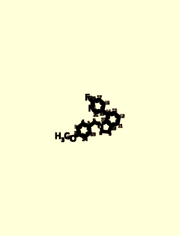 COc1ccc(CN2CCc3cccc(-c4ccc(F)nc4)c32)cc1